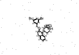 Brc1cc(Br)cc(CO[C@@H]2CCc3ccccc3[C@H]2N2CCNCC2)c1.Cl.Cl